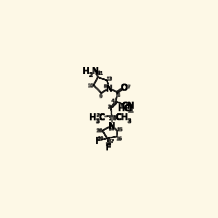 CC(C)(C=C(C#N)C(=O)N1CCC(N)C1)N1CCC(F)(F)C1.Cl